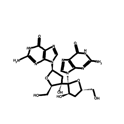 Nc1nc2c(ncn2[C@H]2C[C@@](O)([C@@]3(n4cnc5c(=O)[nH]c(N)nc54)O[C@H](CO)C[C@H]3O)[C@@H](CO)O2)c(=O)[nH]1